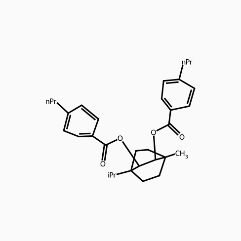 CCCc1ccc(C(=O)OC2C(OC(=O)c3ccc(CCC)cc3)C3(C(C)C)CCC2(C)CC3)cc1